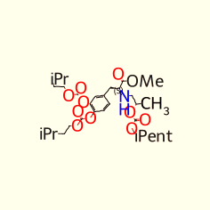 CCCC(C)OC(=O)OC(C)CN[C@@H](Cc1ccc(OC(=O)OCCC(C)C)c(OC(=O)OCCC(C)C)c1)C(=O)OC